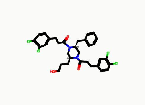 O=C(CCc1ccc(Cl)c(Cl)c1)N1C[C@H](CCCO)N(C(=O)CCc2ccc(Cl)c(Cl)c2)C[C@H]1Cc1ccccc1